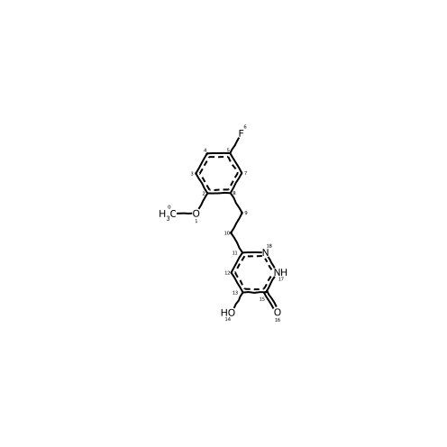 COc1ccc(F)cc1CCc1cc(O)c(=O)[nH]n1